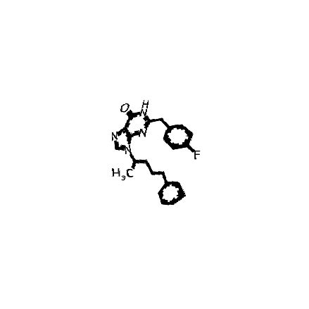 CC(CCCc1ccccc1)n1cnc2c(=O)[nH]c(Cc3ccc(F)cc3)nc21